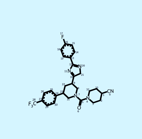 N#CC1CCN(C(=O)N2CC(C3=NC(c4ccc(F)cc4)=NC3)CC(c3ccc(C(F)(F)F)cc3)C2)CC1